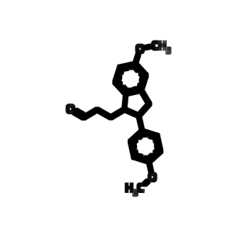 COc1ccc(C2Cc3cc(OC)ccc3C2CCC=O)cc1